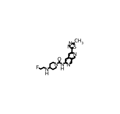 Cc1nnc(-c2cc3cc(NC(=O)N4CCC(NCCF)CC4)ncc3cn2)s1